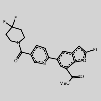 CCc1cc2cc(-c3ccc(C(=O)N4CCC(F)(F)CC4)cn3)cc(C(=O)OC)c2o1